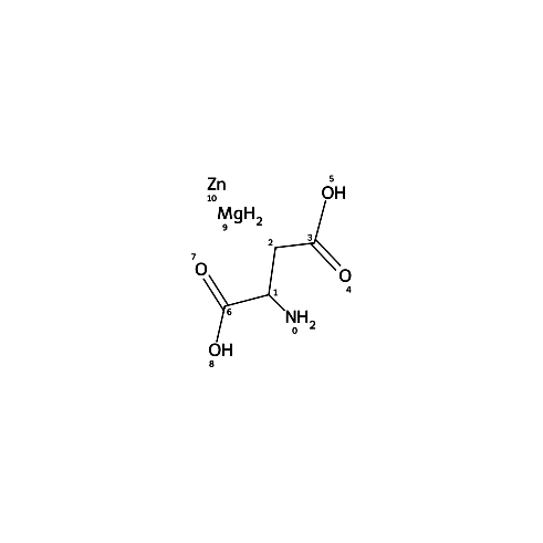 NC(CC(=O)O)C(=O)O.[MgH2].[Zn]